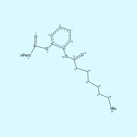 CCCCCC(=O)Oc1ccccc1OC(=O)CCCCCCC(C)(C)C